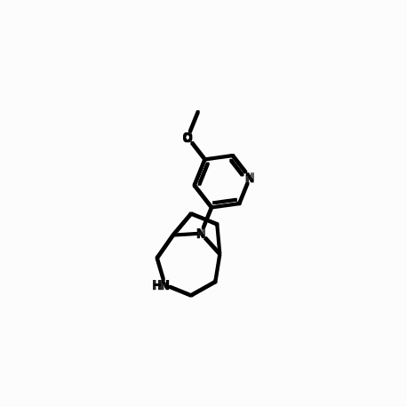 COc1cncc(N2C3CCNCC2CC3)c1